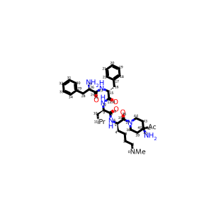 CNCCCC[C@@H](NC(=O)[C@@H](CC(C)C)NC(=O)[C@@H](Cc1ccccc1)NC(=O)[C@H](N)Cc1ccccc1)C(=O)N1CCC(N)(C(C)=O)CC1